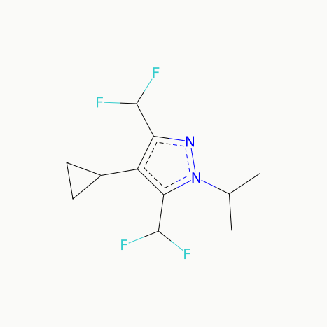 CC(C)n1nc(C(F)F)c(C2CC2)c1C(F)F